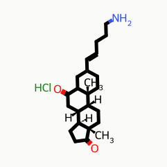 C[C@]12CCC(C=CCCCN)CC1C(=O)C[C@@H]1[C@H]2CC[C@]2(C)C(=O)CC[C@@H]12.Cl